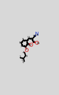 CC(C)CCOc1cccc2cc(C#N)c(=O)oc12